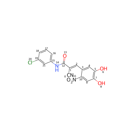 N#CC(=Cc1cc(O)c(O)cc1[N+](=O)[O-])C(=O)Nc1cccc(Cl)c1